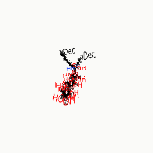 CCCCCCCCCCCCC/C=C/[C@@H](O)[C@H](CO[C@@H]1OC(CO)[C@@H](O[C@@H]2OC(CO)[C@@H](O)[C@H](O[C@H]3OC(CO)[C@@H](O)[C@H](O)C3O)C2O)[C@H](O)C1O)NC(=O)CCCCCCCCCCCCCCCCC